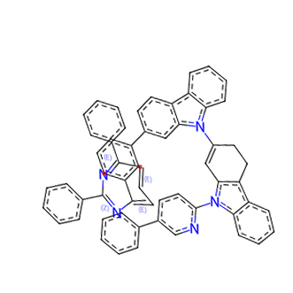 C1=C(n2c3ccccc3c3ccc(-c4cccc(C5=C\C=C\C(c6ccccc6)=N/C(c6ccccc6)=N\5)c4)cc32)CCc2c1n(-c1ccc(-c3ccccc3)cn1)c1ccccc21